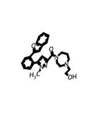 Cn1nc(C(=O)N2CCCN(CCO)CC2)cc1-c1ccccc1-c1cc2ccccc2o1